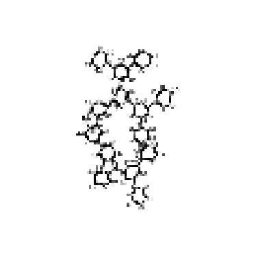 c1ccc(-c2cc(-c3ccccc3)cc(-c3cc(-c4cc(-c5ccccc5)cc(-c5ccccc5)c4)nc(-c4ccc5sc6ccc(-c7ccc8c(c7)c7ccccc7n8-c7cc(-c8ccccc8)cc(-c8ccccc8)c7)cc6c5c4)n3)c2)cc1